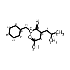 CC(C)CC(CC(=O)O)C(=O)OCC1CCCCC1